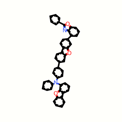 c1ccc(-c2nc3c(-c4ccc5c(c4)oc4cc(-c6ccc(N(c7ccccc7)c7cccc8c7oc7ccccc78)cc6)ccc45)cccc3o2)cc1